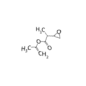 C=C(C)OC(=O)C(C)C1CO1